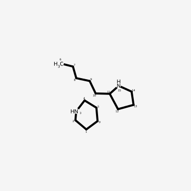 C1CCNCC1.CCCCCC1CCCN1